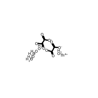 O.O.O.O.O.O.O=C([O-])C(=O)[O-].O=C([O-])C(=O)[O-].[Th+4]